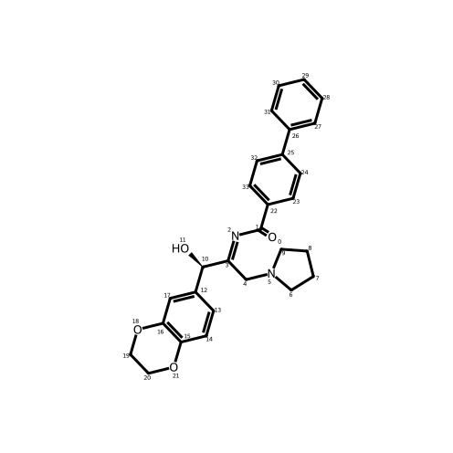 O=C(/N=C(\CN1CCCC1)[C@H](O)c1ccc2c(c1)OCCO2)c1ccc(-c2ccccc2)cc1